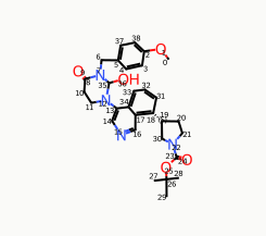 COc1ccc(CN2C(=O)CCN(c3cncc4c([C@@H]5CCN(C(=O)OC(C)(C)C)C5)cccc34)C2O)cc1